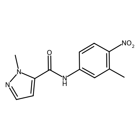 Cc1cc(NC(=O)c2ccnn2C)ccc1[N+](=O)[O-]